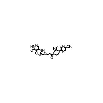 C[C@@H](COCCC(=O)N1CCN2c3ncc(C(F)(F)F)nc3OC[C@@H]2C1)Nc1cn[nH]c(=O)c1C(F)(F)F